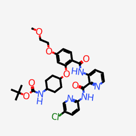 COCCOc1ccc(C(=O)Nc2cccnc2C(=O)Nc2ccc(Cl)cn2)c(OC2CCC(NC(=O)OC(C)(C)C)CC2)c1